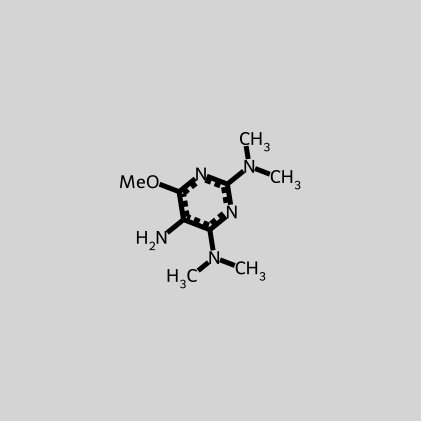 COc1nc(N(C)C)nc(N(C)C)c1N